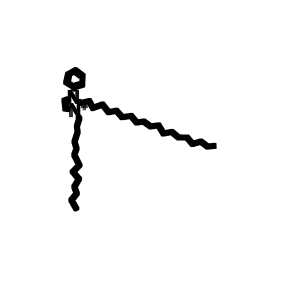 CCCCCCCCCCCCCCCCCCCc1n(-c2ccccc2)cc[n+]1CCCCCCCCCCCCC